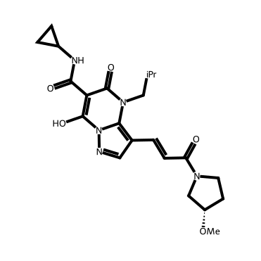 CO[C@H]1CCN(C(=O)/C=C/c2cnn3c(O)c(C(=O)NC4CC4)c(=O)n(CC(C)C)c23)C1